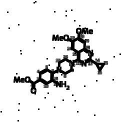 COC(=O)c1ccc(N2CCN(c3nc(C4CC4)nc4cc(OC)c(OC)cc34)CC2)c(N)c1